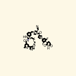 Cc1cc2cc(n1)-c1cnn(C)c1OCCC[C@@H](C)CN1/C(=N/C2=O)Nc2ccc(CN3CCN(C(=O)[C@@H]4CCN(c5cc(F)c([C@H]6CCC(=O)NC6=O)c(F)c5)C4)[C@H](CC#N)C3)cc21